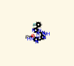 CC(C)C(=O)Nc1ccc(Cc2cnc3[nH]nc(-c4nc5c(-c6ccccc6F)cncc5[nH]4)c3c2)nc1